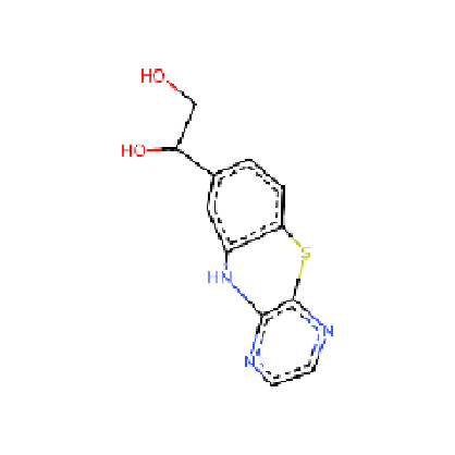 OCC(O)c1ccc2c(c1)Nc1nccnc1S2